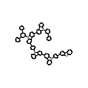 c1ccc(-c2cccc(-n3c4ccccc4c4cc(-c5ccc6c(c5)c5cc(-c7ccc(-n8c9ccccc9c9cc(-c%10ccc%11c(c%10)c%10ccccc%10n%11-c%10ccc(-c%11ccc%12c(c%11)oc%11ccccc%11%12)cc%10)ccc98)cc7)ccc5n6-c5cc(-c6ccccc6)cc(-c6ccccc6)c5)ccc43)c2)cc1